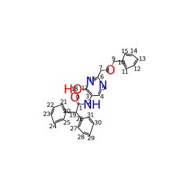 O=C(Nc1cnc(COCc2ccccc2)nc1O)C(c1ccccc1)c1ccccc1